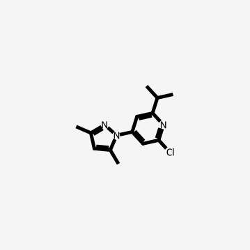 Cc1cc(C)n(-c2cc(Cl)nc(C(C)C)c2)n1